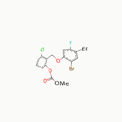 CCc1cc(Br)c(OCc2c(Cl)cccc2OC(=O)OC)cc1F